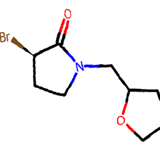 O=C1[C@H](Br)CCN1CC1CCCO1